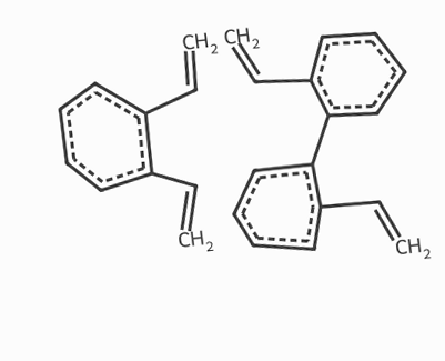 C=Cc1ccccc1-c1ccccc1C=C.C=Cc1ccccc1C=C